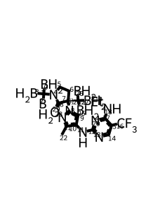 BC(B)(B)N1CC[C@@](n2cc(Nc3ncc(C(F)(F)F)c(NCC)n3)c(C)n2)(C(B)(B)B)C1=O